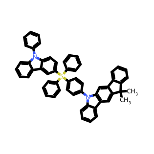 CC1(C)c2ccccc2-c2cc3c(cc21)c1ccccc1n3-c1ccc(S(c2ccccc2)(c2ccccc2)c2ccc3c(c2)c2ccccc2n3-c2ccccc2)cc1